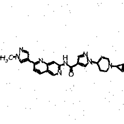 Cn1cc(-c2ccc3cnc(NC(=O)c4cnn(C5CCN(C6CC6)CC5)c4)cc3n2)cn1